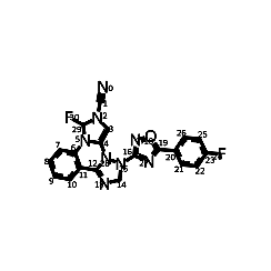 N#CN1C=C2N(c3ccccc3C3=NCN(c4noc(-c5ccc(F)cc5)n4)N23)C1F